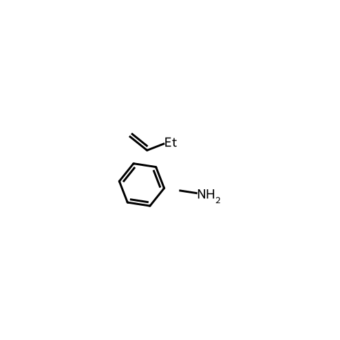 C=CCC.CN.c1ccccc1